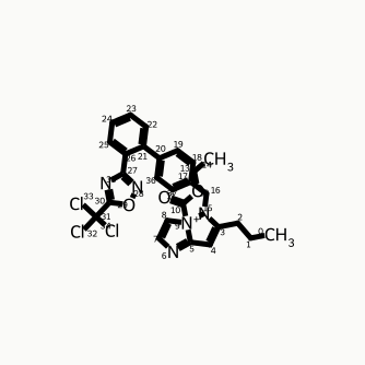 CCCC1=CC2=NC=C[N+]2(C(=O)OCC)N1Cc1ccc(-c2ccccc2-c2noc(C(Cl)(Cl)Cl)n2)cc1